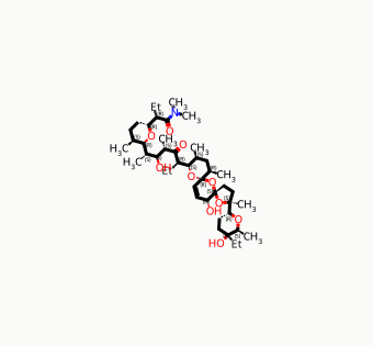 CC[C@@H](C(=O)[C@@H](C)[C@@H](O)[C@H](C)[C@@H]1O[C@@H]([C@@H](CC)C(=O)N(C)C)CC[C@@H]1C)[C@H]1O[C@]2(C=C[C@@H](O)[C@]3(CC[C@@](C)([C@H]4CC[C@](O)(CC)[C@H](C)O4)O3)O2)[C@H](C)C[C@@H]1C